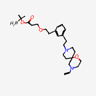 BC(C)(C)OC(=O)CCOCCc1cccc(CCN2CCC3(CC2)CN(C=C)CCO3)c1